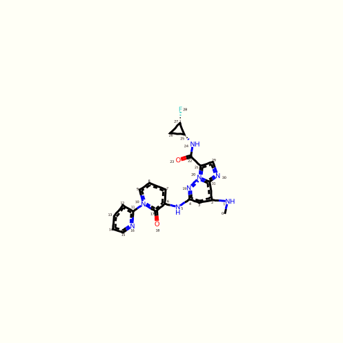 CNc1cc(Nc2cccn(-c3ccccn3)c2=O)nn2c(C(=O)N[C@@H]3C[C@@H]3F)cnc12